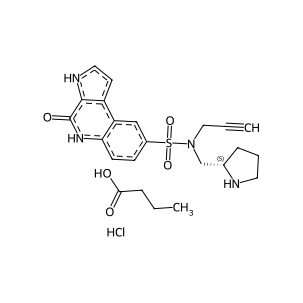 C#CCN(C[C@@H]1CCCN1)S(=O)(=O)c1ccc2[nH]c(=O)c3[nH]ccc3c2c1.CCCC(=O)O.Cl